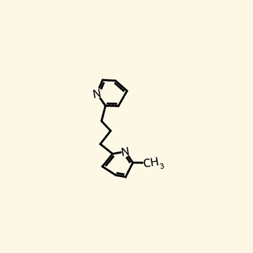 Cc1cccc(CCCc2ccccn2)n1